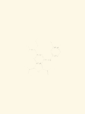 CC(C)N(CCO)c1nc(Nc2ccc(Cl)c(N)c2)c2c(n1)N(C(C)C)NN2C(C)C